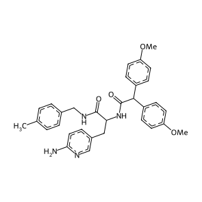 COc1ccc(C(C(=O)NC(Cc2ccc(N)nc2)C(=O)NCc2ccc(C)cc2)c2ccc(OC)cc2)cc1